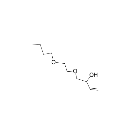 C=CC(O)COCCOCCCC